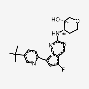 CC(C)(C)c1ccc(-c2cc(F)c3cnc(N[C@@H]4CCOC[C@H]4O)nn23)nc1